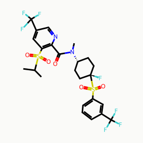 CC(C)S(=O)(=O)c1cc(C(F)(F)F)cnc1C(=O)N(C)[C@H]1CC[C@@](F)(S(=O)(=O)c2cccc(C(F)(F)F)c2)CC1